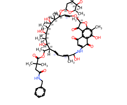 C/C1=C/C=C/[C@H](C(C)OC(=O)C(C)(C)CC(=O)NCc2ccccc2)[C@H](O)[C@@H](C)[C@@H](O)[C@@H](C)[C@H](O)[C@H](C)[C@@H](O[C@H]2C[C@@H]3OCO[C@@H]3[C@@H](C)O2)/C=C/O[C@@]2(C)Oc3c(C)c(O)c4c(c3C2=O)C(=O)C=C(NC1O)C4=O